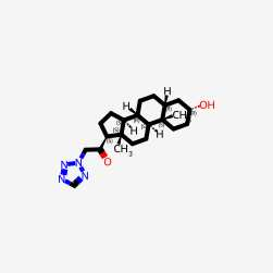 C[C@]12CC[C@@H](O)C[C@H]1CC[C@@H]1[C@@H]2CC[C@]2(C)[C@@H](C(=O)Cn3ncnn3)CC[C@@H]12